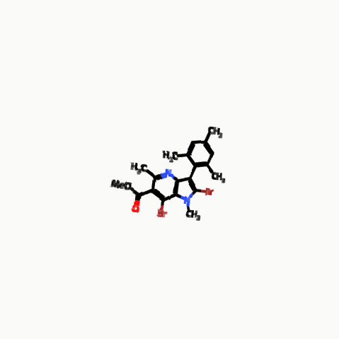 COC(=O)c1c(C)nc2c(-c3c(C)cc(C)cc3C)c(Br)n(C)c2c1Br